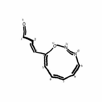 O=CC=Cc1cccccnno1